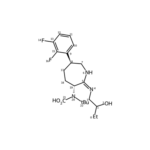 CCC(O)C/N=C1/NC[C@H](c2cccc(F)c2F)CC[C@H]1N(C(=O)O)C(C)(C)C